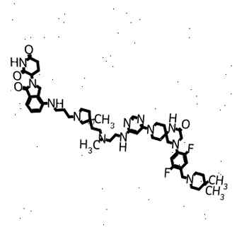 CN(CCNc1cc(N2CCC3(CC2)CN(c2cc(F)c(CN4CCC(C)(C)CC4)cc2F)CC(=O)N3)ncn1)CC[C@]1(C)CCN(CCCNc2cccc3c2CN(C2CCC(=O)NC2=O)C3=O)C1